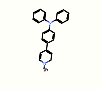 CCCN1C=CC(c2ccc(N(c3ccccc3)c3ccccc3)cc2)=CC1